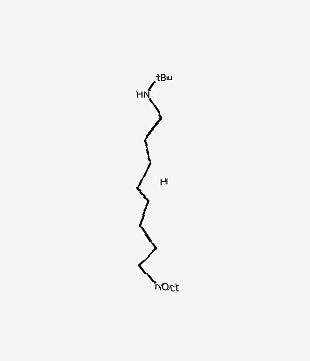 CCCCCCCCCCCCCCCCNC(C)(C)C.I